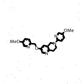 COc1ccc(COc2cnc3c(c2)CN(c2ccc(OC)cn2)CC3)nc1